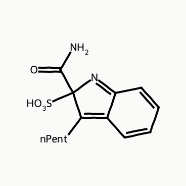 CCCCCC1=c2ccccc2=NC1(C(N)=O)S(=O)(=O)O